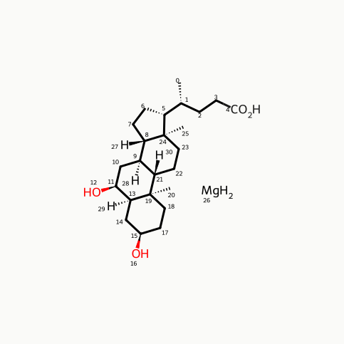 C[C@H](CCC(=O)O)[C@H]1CC[C@H]2[C@@H]3C[C@H](O)[C@@H]4C[C@H](O)CC[C@]4(C)[C@H]3CC[C@]12C.[MgH2]